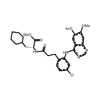 COC(=O)[C@@H](CC1CCCCC1)NC(=O)CCc1ccc(Cl)cc1Nc1ncnc2cc(OC)c(OC(C)=O)cc12